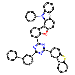 c1ccc(-c2cccc(-c3nc(-c4ccc5sc6ccccc6c5c4)nc(-c4cccc5c4oc4ccc6c7ccccc7n(-c7ccccc7)c6c45)n3)c2)cc1